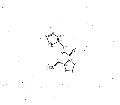 C=C[C@@H]1CCCN1C(=O)OCc1ccccc1